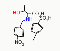 CC(O)[C@@H](NCc1ccc([N+](=O)[O-])cc1)C(=O)O.Cc1ccc(S(=O)(=O)O)cc1